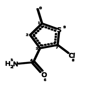 Cc1cc(C(N)=O)c(Cl)s1